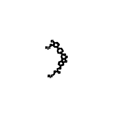 CCOC(=O)COc1ccc2c(c1)oc(=O)n2CC(=O)N1CCN(c2ccc(Cl)c(OC)c2)CC1